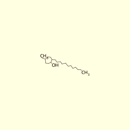 CCCCCCCCCCCCC1CCC(CC)CCC1O